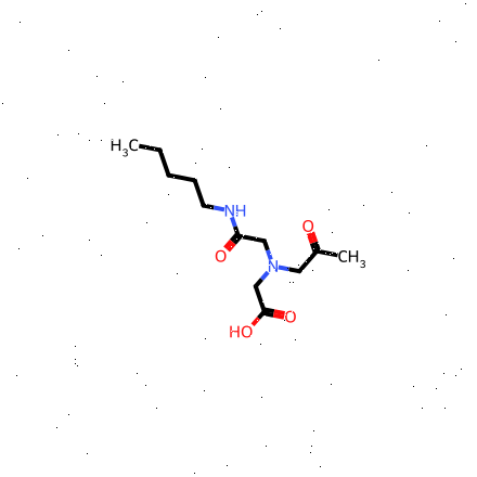 CCCCCNC(=O)CN(CC(C)=O)CC(=O)O